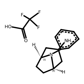 NC1C[C@H]2CC[C@@H](C1)N2c1ccccc1.O=C(O)C(F)(F)F